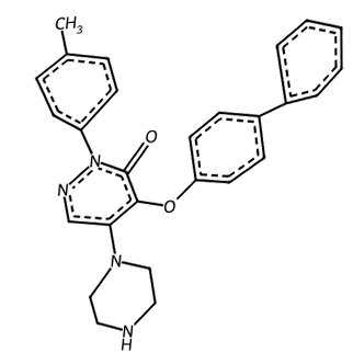 Cc1ccc(-n2ncc(N3CCNCC3)c(Oc3ccc(-c4ccccc4)cc3)c2=O)cc1